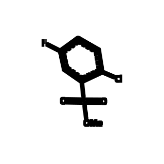 [CH2]OS(=O)(=O)c1cc(F)ccc1Cl